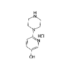 Cl.Oc1ccc(N2CCNCC2)nc1